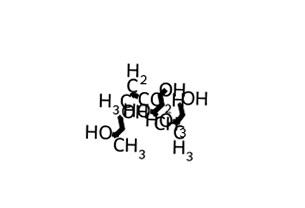 C=C(C)C(=O)O.CC(O)CCO.CC(O)CCO.CC(O)CCO